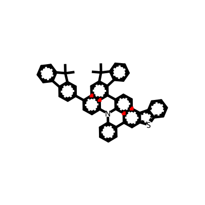 CC1(C)c2ccccc2-c2ccc(-c3ccc(N(c4ccccc4-c4ccc5c(c4)sc4ccccc45)c4ccccc4-c4cccc5c4-c4ccccc4C5(C)C)cc3)cc21